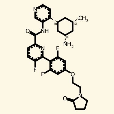 C[C@@H]1C[C@H](N)C[C@H](c2ccncc2NC(=O)c2ccc(F)c(-c3c(F)cc(OCCN4CCCC4=O)cc3F)n2)C1